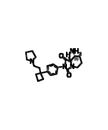 N[C@@H]1CCCN2C(=O)N(c3ccc(C4(CCN5CCCC5)CCC4)cc3)C(=O)[C@H]12